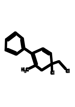 CC1=C(c2ccccc2)C=CC(Cl)(CCl)C1